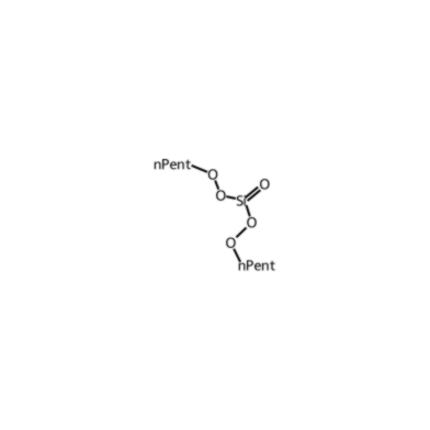 CCCCCOO[Si](=O)OOCCCCC